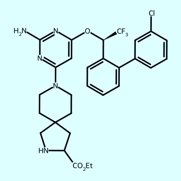 CCOC(=O)C1CC2(CCN(c3cc(O[C@H](c4ccccc4-c4cccc(Cl)c4)C(F)(F)F)nc(N)n3)CC2)CN1